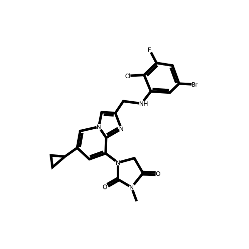 CN1C(=O)CN(c2cc(C3CC3)cn3cc(CNc4cc(Br)cc(F)c4Cl)nc23)C1=O